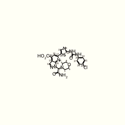 NC(=O)C(N1CCOCC1)n1ncc2c(C(=O)O)cc(-c3cnc(NC(=O)Nc4ccc(Cl)cc4)s3)nc21